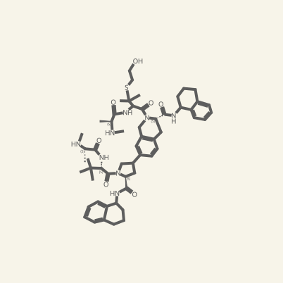 CN[C@@H](C)C(=O)NC(C(=O)N1Cc2cc(C3C[C@@H](C(=O)NC4CCCc5ccccc54)N(C(=O)[C@@H](NC(=O)[C@H](C)NC)C(C)(C)C)C3)ccc2C[C@H]1C(=O)NC1CCCc2ccccc21)C(C)(C)SCCO